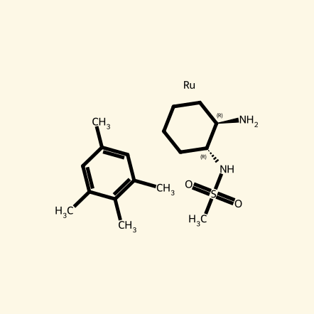 CS(=O)(=O)N[C@@H]1CCCC[C@H]1N.Cc1cc(C)c(C)c(C)c1.[Ru]